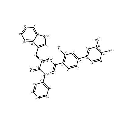 O=C(N[C@H](Cc1c[nH]c2ccccc12)C(=O)Nc1ccncc1)c1ccc(-c2ccc(F)c(Cl)c2)cc1F